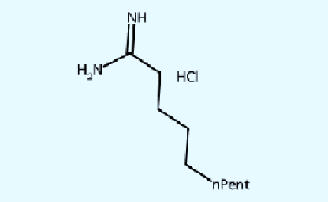 CCCCCCCCCC(=N)N.Cl